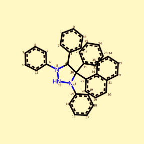 c1ccc(C2N(c3ccccc3)NN(c3ccccc3)C2(c2ccccc2)c2cccc3ccccc23)cc1